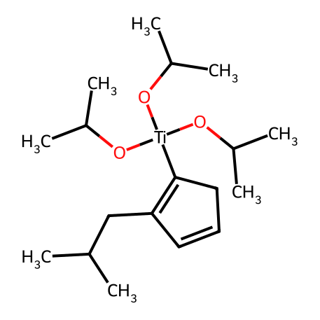 CC(C)CC1=[C]([Ti]([O]C(C)C)([O]C(C)C)[O]C(C)C)CC=C1